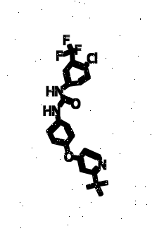 CC(C)(C)c1cc(Oc2ccc(NC(=O)Nc3ccc(Cl)c(C(F)(F)F)c3)cc2)ccn1